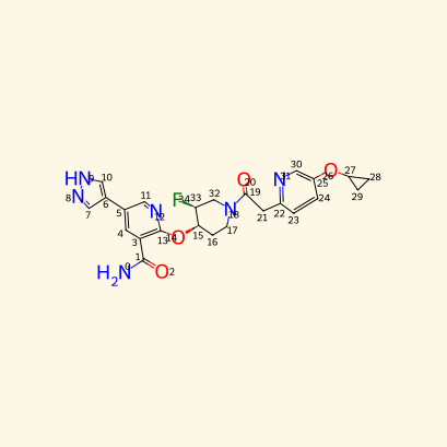 NC(=O)c1cc(-c2cn[nH]c2)cnc1O[C@@H]1CCN(C(=O)Cc2ccc(OC3CC3)cn2)C[C@@H]1F